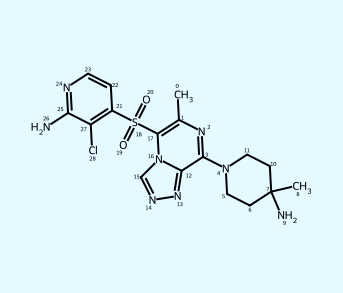 Cc1nc(N2CCC(C)(N)CC2)c2nncn2c1S(=O)(=O)c1ccnc(N)c1Cl